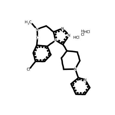 CN1Cc2cc(Cl)ccc2-n2c(nnc2C2CCN(c3ccccn3)CC2)C1.Cl.Cl.Cl